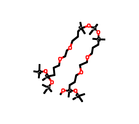 CO[Si](C)(CCCOCCOCCC[Si](C)(C)O[Si](C)(C)O[Si](C)(C)CCCOCCOCCC[Si](C)(O[Si](C)(C)C)O[Si](C)(C)C)O[Si](C)(C)C